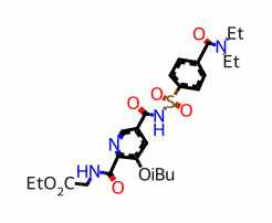 CCOC(=O)CNC(=O)c1ncc(C(=O)NS(=O)(=O)c2ccc(C(=O)N(CC)CC)cc2)cc1OCC(C)C